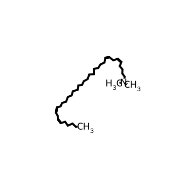 CCCCC/C=C\C/C=C\CCCCCCCCCCCCCCCCC/C=C\C/C=C\CCCCN(C)C